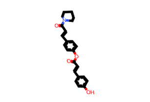 O=C(/C=C/c1ccc(O)cc1)Oc1ccc(/C=C/C(=O)N2CCCCC2)cc1